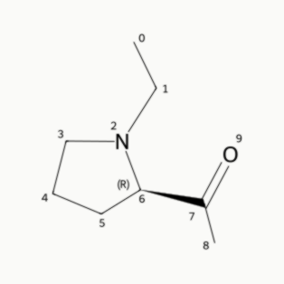 CCN1CCC[C@@H]1C(C)=O